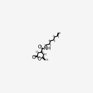 C=CCCCCCNC(=O)C1CC(=C)OC(=O)C1